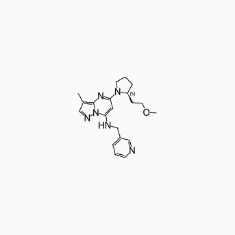 COCC[C@@H]1CCCN1c1cc(NCc2cccnc2)n2ncc(C)c2n1